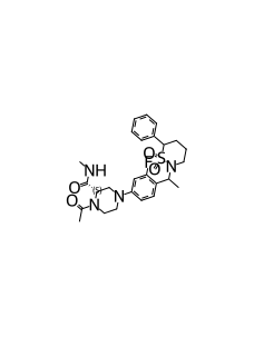 CNC(=O)[C@@H]1CN(c2ccc(C(C)N3CCCC(c4ccccc4)S3(=O)=O)c(F)c2)CCN1C(C)=O